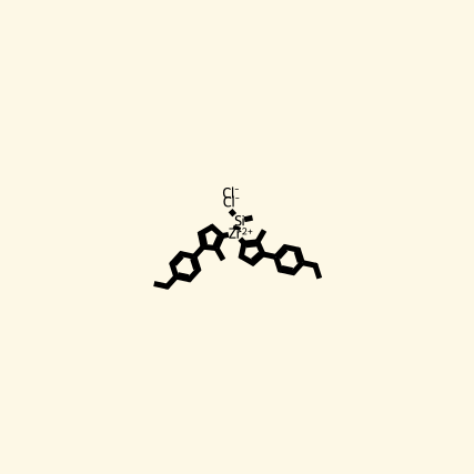 CCc1ccc(C2=CC[C]([Zr+2]([C]3=C(C)C(c4ccc(CC)cc4)=CC3)=[Si](C)C)=C2C)cc1.[Cl-].[Cl-]